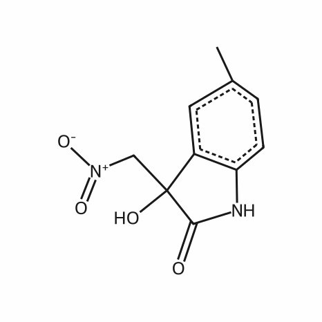 Cc1ccc2c(c1)C(O)(C[N+](=O)[O-])C(=O)N2